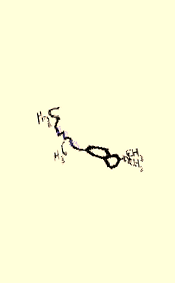 C=C\C=C/C=C(C)/C=C/c1ccc2cc(N(C)C)ccc2c1